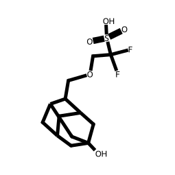 O=S(=O)(O)C(F)(F)COCC1C2CC3CC1CC(O)(C3)C2